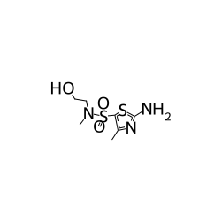 Cc1nc(N)sc1S(=O)(=O)N(C)CCO